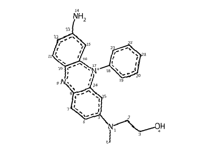 CN(CCO)c1ccc2nc3ccc(N)cc3[n+](-c3ccccc3)c2c1